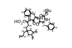 CC(C)(C)OC(=O)N[C@H](Cc1ccccc1)C(=O)N[C@H](Cc1ccccc1)C(=O)NC(CCC(CCF)(CCF)CCF)C(=O)O